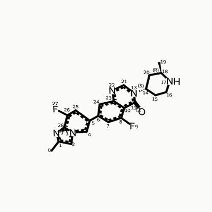 Cc1cn2cc(-c3cc(F)c4c(=O)n([C@H]5CCN[C@H](C)C5)cnc4c3)cc(F)c2n1